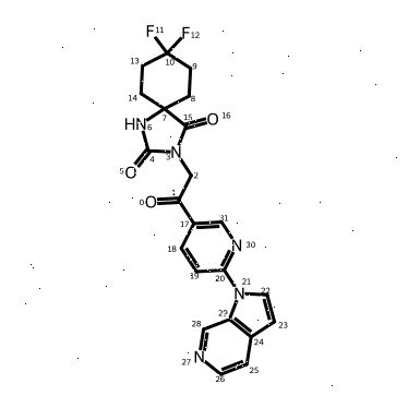 O=C(CN1C(=O)NC2(CCC(F)(F)CC2)C1=O)c1ccc(-n2ccc3ccncc32)nc1